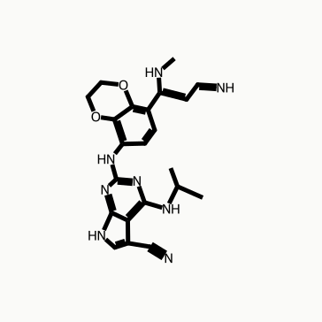 CN/C(=C\C=N)c1ccc(Nc2nc(NC(C)C)c3c(C#N)c[nH]c3n2)c2c1OCCO2